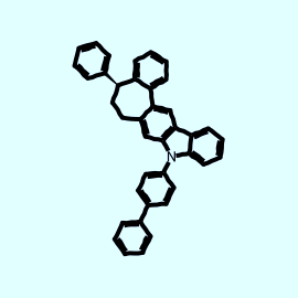 c1ccc(-c2ccc(-n3c4ccccc4c4cc5c(cc43)CC[C@@H](c3ccccc3)c3ccccc3-5)cc2)cc1